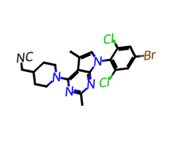 [C-]#[N+]CC1CCN(c2nc(C)nc3c2c(C)cn3-c2c(Cl)cc(Br)cc2Cl)CC1